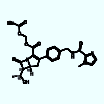 C[C@@H](O)[C@H]1C(=O)N2C(C(=O)OCOC(=O)C(C)(C)C)=C(c3ccc(CNC(=O)c4nccn4C)cc3)C[C@H]12